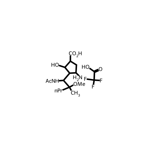 CCCC(C)(OC)C(NC(C)=O)C1C(N)CC(C(=O)O)C1O.O=C(O)C(F)(F)F